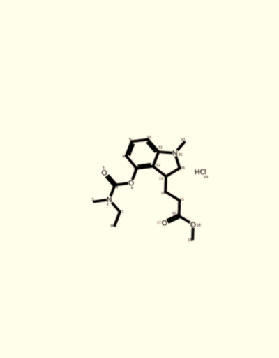 CCN(C)C(=O)Oc1cccc2c1C(CCC(=O)OC)CN2C.Cl